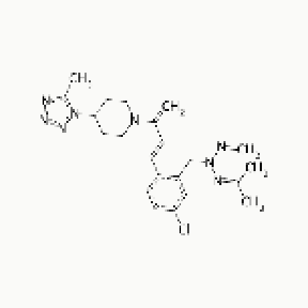 C=NN(Cc1cc(Cl)ccc1/C=C/C(=C)N1CCC(n2nnnc2C)CC1)N=C(C)C